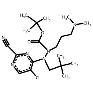 CN(C)CCCN(C(=O)OC(C)(C)C)N(CC(C)(C)C)c1nc(C#N)ncc1Cl